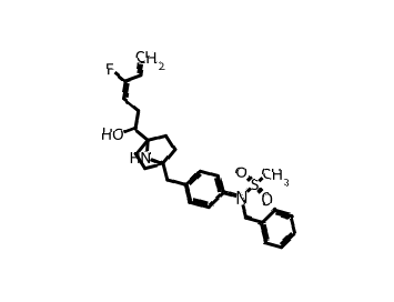 C=C/C(F)=C\CC(O)C12CCC(Cc3ccc(N(Cc4ccccc4)S(C)(=O)=O)cc3)(CC1)N2